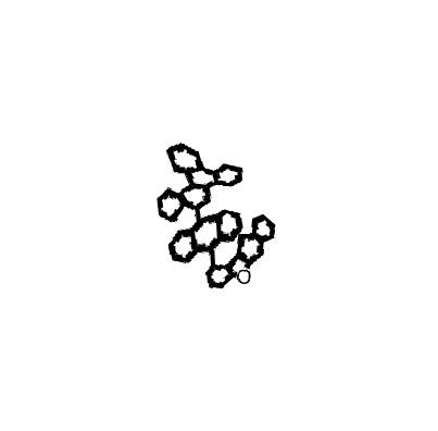 c1ccc2cc3c(cc2c1)oc1cccc(-c2c4ccccc4c(-c4cc5c6ccccc6c6ccccc6c5c5ccccc45)c4ccccc24)c13